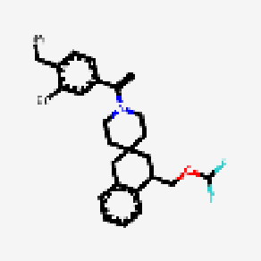 C=C(c1ccc(CC(C)C)c(CC)c1)N1CCC2(CC1)Cc1ccccc1C(COC(F)F)C2